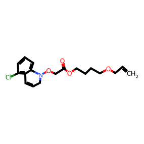 C=CCOCCCCOC(=O)CON1CC=Cc2c(Cl)cccc21